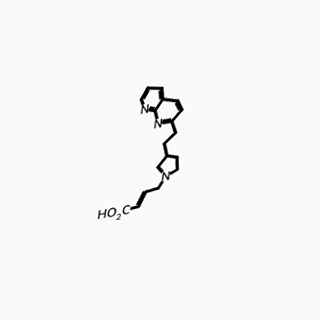 O=C(O)C=CCN1CCC(CCc2ccc3cccnc3n2)C1